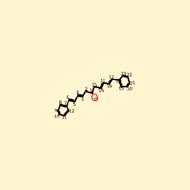 O=C(CC=CC=Cc1ccccc1)CC=CC=Cc1ccccc1